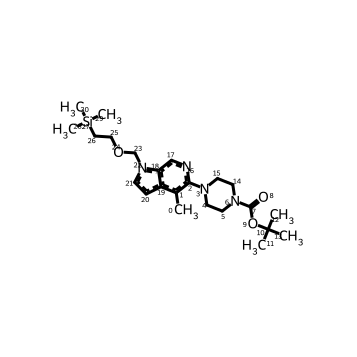 Cc1c(N2CCN(C(=O)OC(C)(C)C)CC2)ncc2c1ccn2COCC[Si](C)(C)C